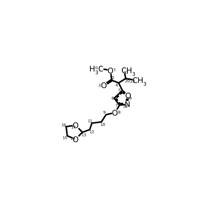 COC(=O)C(c1cc(OCCCCC2OCCO2)no1)C(C)C